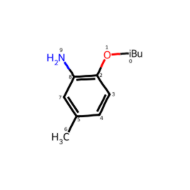 CCC(C)Oc1ccc(C)cc1N